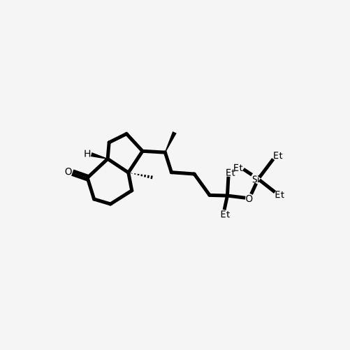 CCC(CC)(CCC[C@H](C)C1CC[C@H]2C(=O)CCC[C@]12C)O[Si](CC)(CC)CC